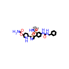 CC(C)(C)NS(=O)(=O)c1cc(NC(=O)NCc2ccccc2)ccc1-c1cnc([C@@H]2CC[C@@H](OC(N)=O)CN2)s1